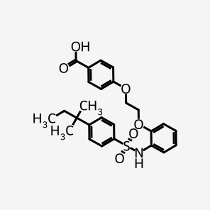 CCC(C)(C)c1ccc(S(=O)(=O)Nc2ccccc2OCCOc2ccc(C(=O)O)cc2)cc1